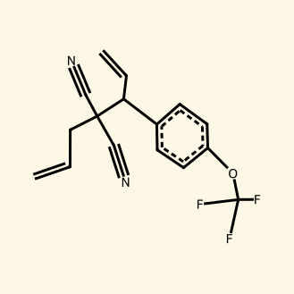 C=CCC(C#N)(C#N)C(C=C)c1ccc(OC(F)(F)F)cc1